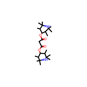 CC1C(OC(=O)CC(=O)OC2C(C)C(C)(C)NC(C)(C)C2C)C(C)C(C)(C)NC1(C)C